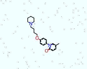 Cc1ccc(=O)n(-c2ccc(OCCCCN3CCCCC3)cc2)c1